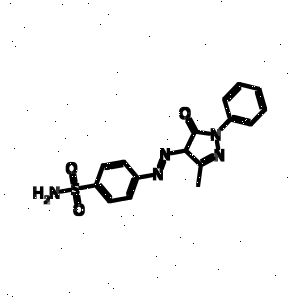 CC1=NN(c2ccccc2)C(=O)C1/N=N/c1ccc(S(N)(=O)=O)cc1